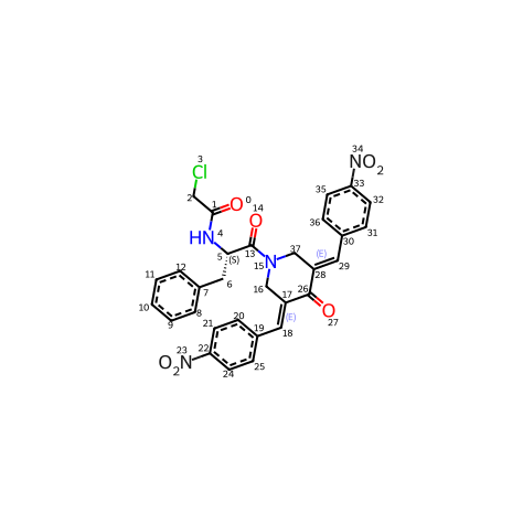 O=C(CCl)N[C@@H](Cc1ccccc1)C(=O)N1C/C(=C\c2ccc([N+](=O)[O-])cc2)C(=O)/C(=C/c2ccc([N+](=O)[O-])cc2)C1